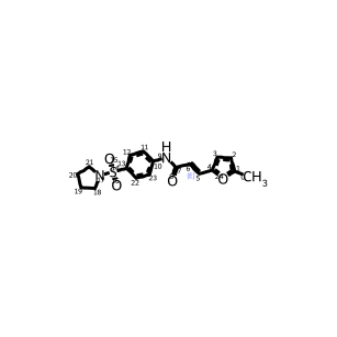 Cc1ccc(/C=C/C(=O)Nc2ccc(S(=O)(=O)N3CCCC3)cc2)o1